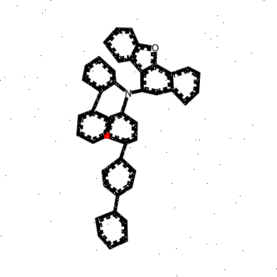 c1ccc(-c2ccc(-c3ccc(N(c4ccccc4-c4ccccc4)c4cc5ccccc5c5oc6ccccc6c45)cc3)cc2)cc1